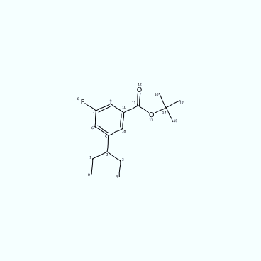 CCC(CC)c1cc(F)cc(C(=O)OC(C)(C)C)c1